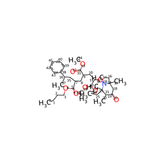 CCCCOC(=O)C(CC(CC(ON1C(C)(CC)CC(=O)C(C)C1(C)CC)C(=O)OC)C(=O)OC)CC(C)c1ccccc1